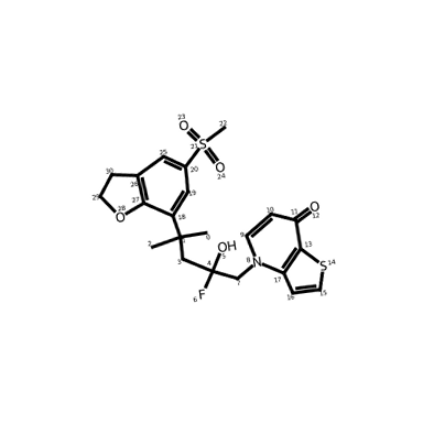 CC(C)(CC(O)(F)Cn1ccc(=O)c2sccc21)c1cc(S(C)(=O)=O)cc2c1OCC2